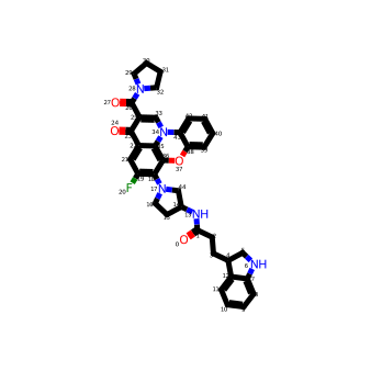 O=C(CCC1CNc2ccccc21)NC1CCN(c2c(F)cc3c(=O)c(C(=O)N4CCCC4)cn4c3c2Oc2ccccc2-4)C1